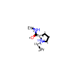 C[13CH](C)[13CH2][15N]1CCC[13CH]1C(=O)N[13CH2][13CH3]